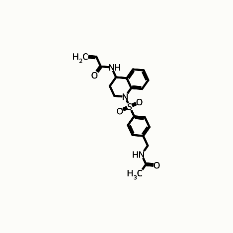 C=CC(=O)NC1CCN(S(=O)(=O)c2ccc(CNC(C)=O)cc2)c2ccccc21